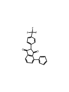 O=C1c2cccc(-c3ccccc3)c2C(=O)C1c1ccc(C(F)(F)F)cc1